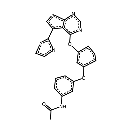 CC(=O)Nc1cccc(Oc2cccc(Oc3ncnc4scc(-c5nccs5)c34)c2)c1